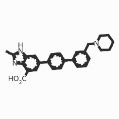 Cc1nc2c(C(=O)O)cc(-c3ccc(-c4cccc(CN5CCCCC5)c4)cc3)cc2[nH]1